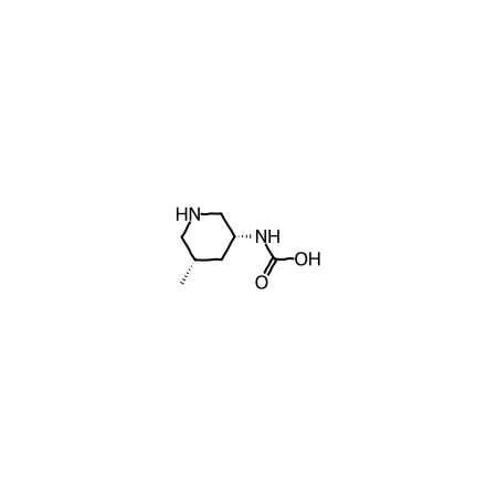 C[C@@H]1CNC[C@H](NC(=O)O)C1